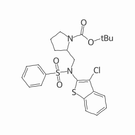 CC(C)(C)OC(=O)N1CCCC1CN(c1sc2ccccc2c1Cl)S(=O)(=O)c1ccccc1